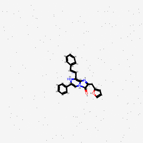 O=c1c(Cc2ccco2)nc2c(/C=C/c3ccccc3)[nH]c(-c3ccccc3)cn1-2